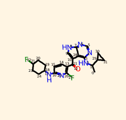 CC(Nc1ncnc2[nH]cc(C(=O)c3ccc(NC4CCC(F)CC4)nc3F)c12)C1CC1